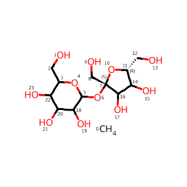 C.OCC1OC(O[C@]2(CO)O[C@H](CO)C(O)C2O)C(O)C(O)C1O